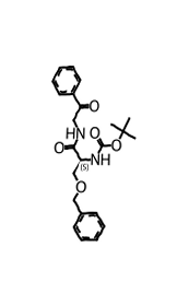 CC(C)(C)OC(=O)N[C@@H](COCc1ccccc1)C(=O)NCC(=O)c1ccccc1